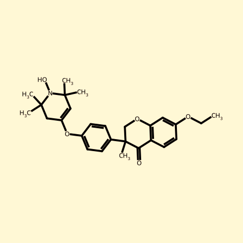 CCOc1ccc2c(c1)OCC(C)(c1ccc(OC3=CC(C)(C)N(O)C(C)(C)C3)cc1)C2=O